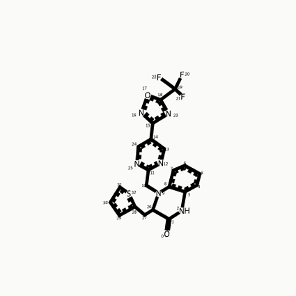 O=C1Nc2ccccc2N(Cc2ncc(-c3noc(C(F)(F)F)n3)cn2)C1Cc1cccs1